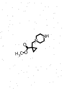 COC(=O)C1(CN2CCNCC2)CC1